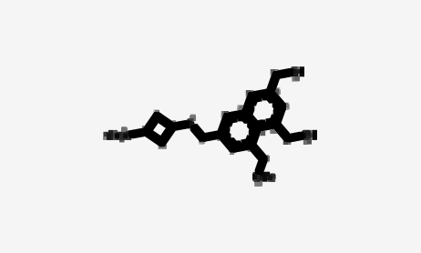 CCCCCCCC1CC(SCc2cc(COC)c3c(CO)cc(CS)cc3c2)C1